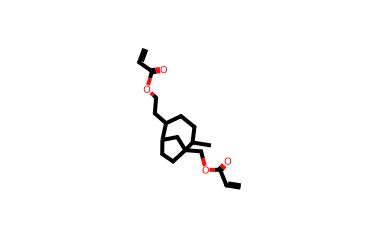 C=CC(=O)OCCC1CCC(C)C2(COC(=O)C=C)CCC1C2